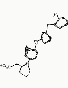 O=C(O)C[C@@H]1CCCN1c1ccc(Oc2cccc(Cc3ccccc3F)c2)cc1